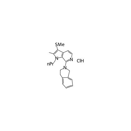 CCCn1c(C)c(SC)c2ccnc(N3CCc4ccccc4C3)c21.Cl